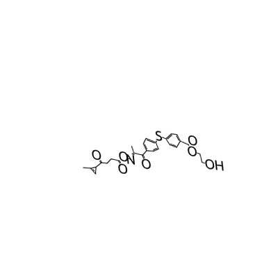 CC1=CC1C(=O)CCC(=O)O/N=C(\C)C(=O)c1ccc(Sc2ccc(C(=O)OCCO)cc2)cc1